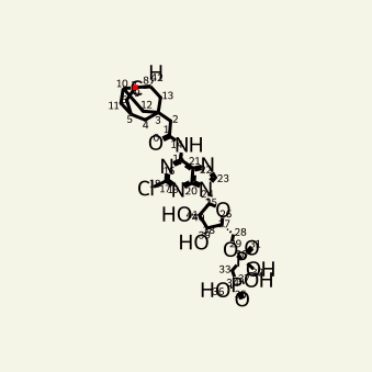 O=C(CC12CC3CC[C@H](CC(C3)C1)C2)Nc1nc(Cl)nc2c1ncn2[C@@H]1O[C@H](COP(=O)(O)CP(=O)(O)O)[C@H](O)[C@@H]1O